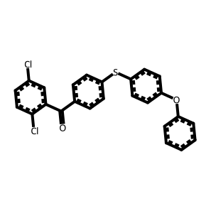 O=C(c1ccc(Sc2ccc(Oc3ccccc3)cc2)cc1)c1cc(Cl)ccc1Cl